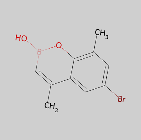 CC1=CB(O)Oc2c(C)cc(Br)cc21